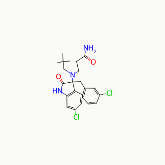 CC(C)(C)CN(CCC(N)=O)C1(Cc2cccc(Cl)c2)C(=O)Nc2cc(Cl)ccc21